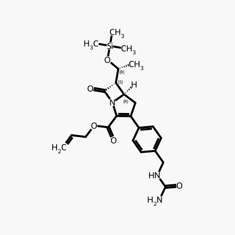 C=CCOC(=O)C1=C(c2ccc(CNC(N)=O)cc2)C[C@@H]2[C@@H]([C@@H](C)O[Si](C)(C)C)C(=O)N12